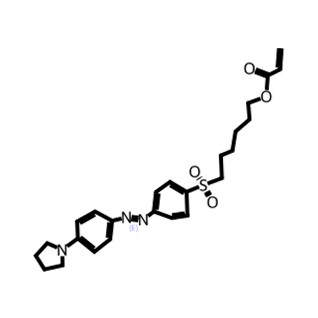 C=CC(=O)OCCCCCCS(=O)(=O)c1ccc(/N=N/c2ccc(N3CCCC3)cc2)cc1